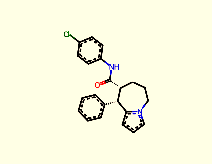 O=C(Nc1ccc(Cl)cc1)[C@@H]1CCCn2cccc2[C@@H]1c1ccccc1